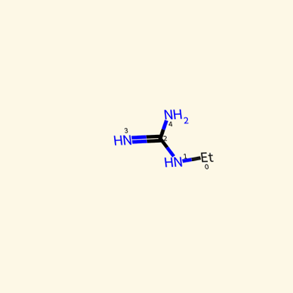 CCNC(=N)N